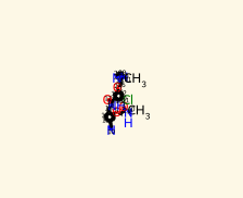 CNC(=O)COc1cc(C#N)ccc1CNC(=O)c1cc(Cl)cc(OCc2nccn2C)c1